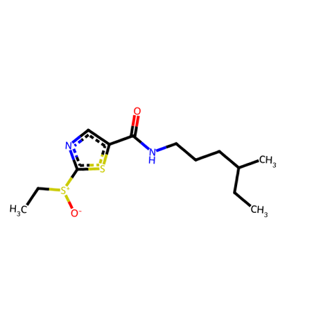 CCC(C)CCCNC(=O)c1cnc([S+]([O-])CC)s1